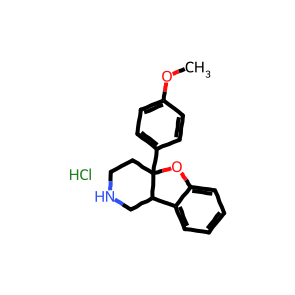 COc1ccc(C23CCNCC2c2ccccc2O3)cc1.Cl